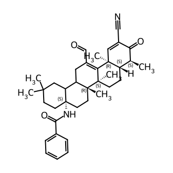 C[C@@H]1C(=O)C(C#N)=C[C@]2(C)C3=C(C=O)CC4C5CC(C)(C)CC[C@]5(NC(=O)c5ccccc5)CC[C@@]4(C)[C@]3(C)CC[C@@H]12